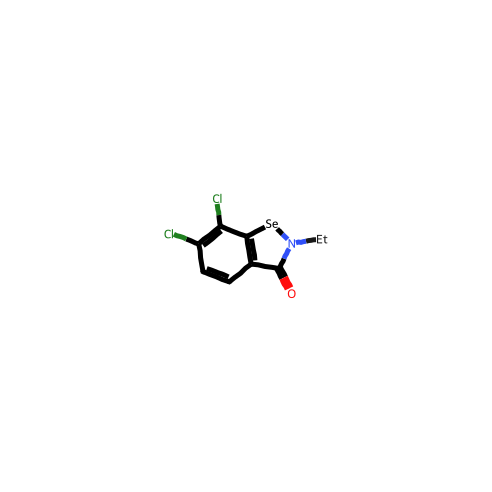 CCn1[se]c2c(Cl)c(Cl)ccc2c1=O